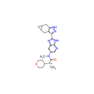 C[C@@H](C(=O)N(C)c1cnc2[nH]c(-c3n[nH]c4c3CC3CC3C4)nc2c1)C1CCOCC1